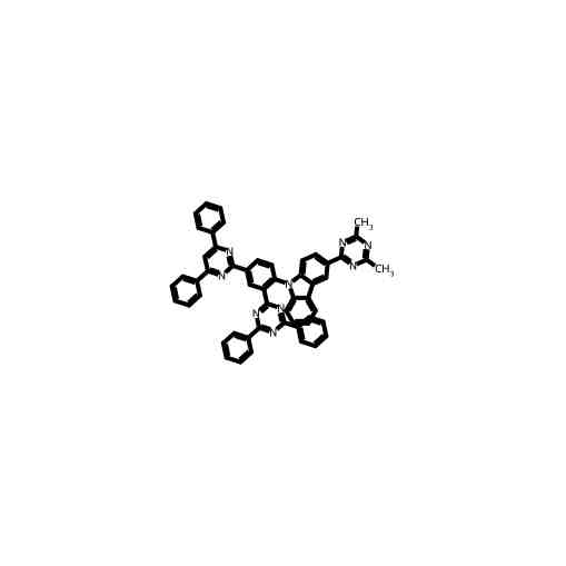 Cc1nc(C)nc(-c2ccc3c(c2)c2ccccc2n3-c2ccc(-c3nc(-c4ccccc4)cc(-c4ccccc4)n3)cc2-c2nc(-c3ccccc3)nc(-c3ccccc3)n2)n1